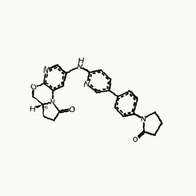 O=C1CCCN1c1ccc(-c2ccc(Nc3cnc4c(c3)N3C(=O)CC[C@@H]3CO4)nc2)cc1